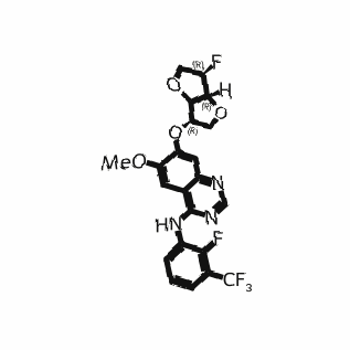 COc1cc2c(Nc3cccc(C(F)(F)F)c3F)ncnc2cc1O[C@@H]1CO[C@@H]2C1OC[C@H]2F